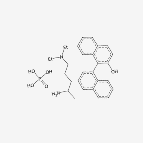 CCN(CC)CCCC(C)N.O=P(O)(O)O.Oc1ccc2ccccc2c1-c1cccc2ccccc12